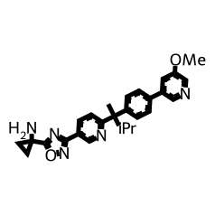 COc1cncc(-c2ccc(C(C)(c3ccc(-c4noc(C5(N)CC5)n4)cn3)C(C)C)cc2)c1